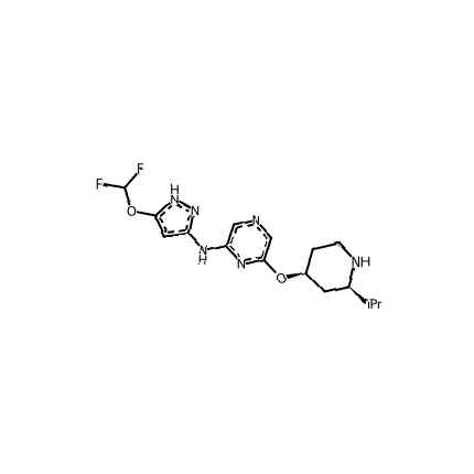 CC(C)[C@H]1C[C@@H](Oc2cncc(Nc3cc(OC(F)F)[nH]n3)n2)CCN1